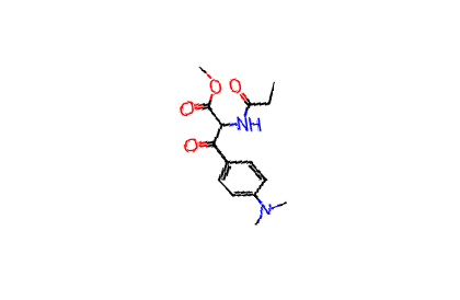 CCC(=O)NC(C(=O)OC)C(=O)c1ccc(N(C)C)cc1